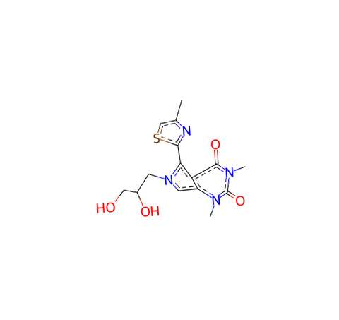 Cc1csc(-c2c3c(=O)n(C)c(=O)n(C)c3cn2CC(O)CO)n1